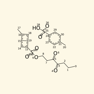 CCCC(=O)C(=O)CCOS(=O)(=O)c1cc2c(C)cc1-2.Cc1ccc(S(=O)(=O)O)cc1